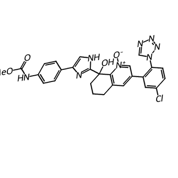 COC(=O)Nc1ccc(-c2c[nH]c(C3(O)CCCc4cc(-c5cc(Cl)ccc5-n5cnnn5)c[n+]([O-])c43)n2)cc1